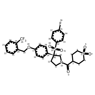 O=C(C1CCS(=O)(=O)CC1)N1CC[C@](c2ccc(OCc3ccccc3C(F)(F)F)cc2)(S(=O)(=O)c2ccc(F)cc2)C1